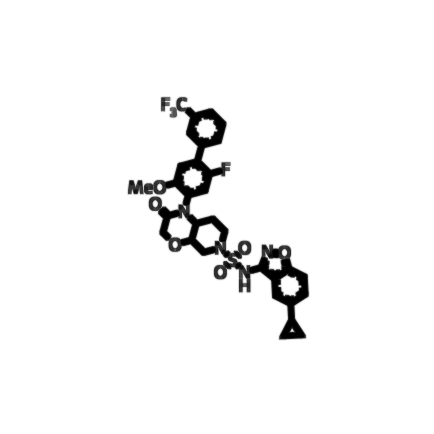 COc1cc(-c2cccc(C(F)(F)F)c2)c(F)cc1N1C(=O)COC2CN(S(=O)(=O)Nc3noc4ccc(C5CC5)cc34)CCC21